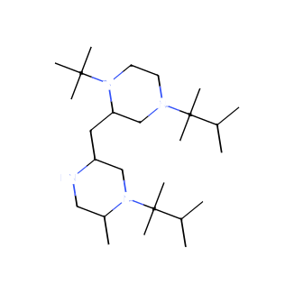 CC1CNC(CC2CN(C(C)(C)C(C)C)CCN2C(C)(C)C)CN1C(C)(C)C(C)C